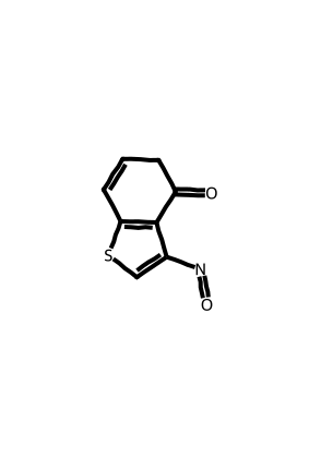 O=Nc1csc2c1C(=O)CC=C2